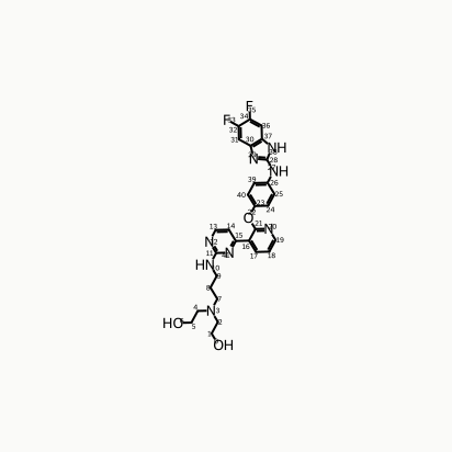 OCCN(CCO)CCCNc1nccc(-c2cccnc2Oc2ccc(Nc3nc4cc(F)c(F)cc4[nH]3)cc2)n1